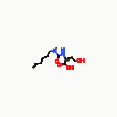 C=CCCCCN(C)C(=O)N[C@@H](CCO)C(=O)O